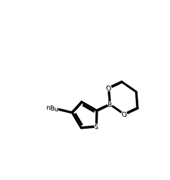 CCCCc1csc(B2OCCCO2)c1